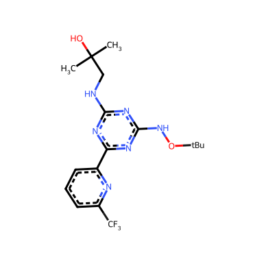 CC(C)(O)CNc1nc(NOC(C)(C)C)nc(-c2cccc(C(F)(F)F)n2)n1